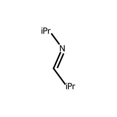 CC(C)C=NC(C)C